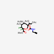 C#CCNC(=O)OC1([C@@H](COC(C)=O)OC(C)=O)COC(F)(C(=O)OC)C(F)C(OC(C)=O)[C@@H](NC(C)=O)C1